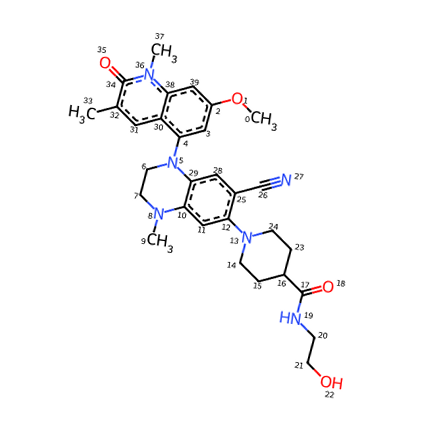 COc1cc(N2CCN(C)c3cc(N4CCC(C(=O)NCCO)CC4)c(C#N)cc32)c2cc(C)c(=O)n(C)c2c1